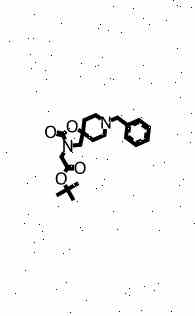 CC(C)(C)OC(=O)CN1CC2(CCN(Cc3ccccc3)CC2)OC1=O